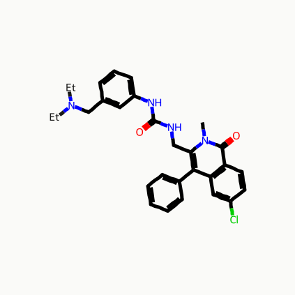 CCN(CC)Cc1cccc(NC(=O)NCc2c(-c3ccccc3)c3cc(Cl)ccc3c(=O)n2C)c1